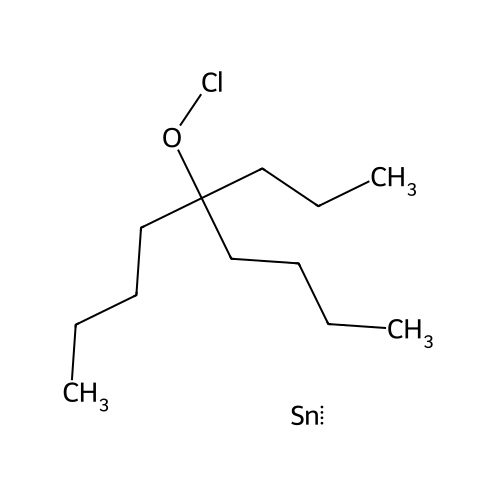 CCCCC(CCC)(CCCC)OCl.[Sn]